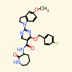 COc1ccc2c(c1)CCN2c1ncc(C(=O)NC2CCCCNC2=O)c(OCc2ccc(F)cc2)n1